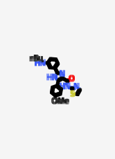 CCCCNc1cccc(-c2nc(C(=O)Nc3nccs3)c(-c3ccc(OC)cc3)[nH]2)c1